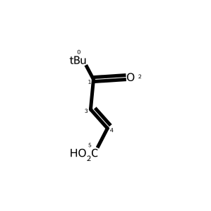 CC(C)(C)C(=O)C=CC(=O)O